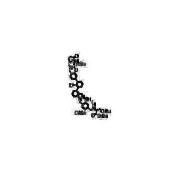 COc1cc(Cn2ncc3c(-c4cccc(-c5ccc(CN(C[C@@H]6CCC(=O)N6)C(=O)OC(C)(C)C)cc5)c4Cl)cccc32)c(N)cc1CN[C@@H](COCC(C)C)C(=O)OCC(C)C